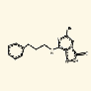 CC(C)(C)c1cn2c(=O)[nH]nc2c(NCCCc2ccccc2)n1